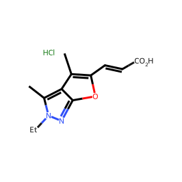 CCn1nc2oc(C=CC(=O)O)c(C)c2c1C.Cl